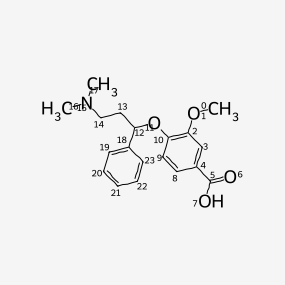 COc1cc(C(=O)O)ccc1OC(CCN(C)C)c1ccccc1